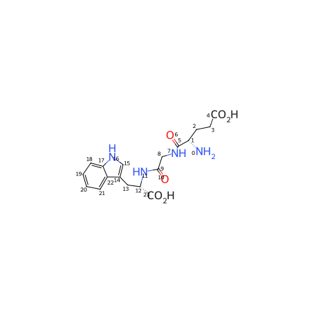 N[C@@H](CCC(=O)O)C(=O)NCC(=O)N[C@@H](Cc1c[nH]c2ccccc12)C(=O)O